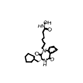 O=C(CCCCCN1C(=O)[C@@H](CC2CCCCC2)NC(=O)c2ccccc21)NO